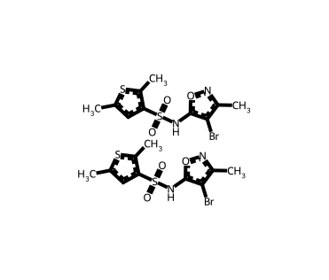 Cc1cc(S(=O)(=O)Nc2onc(C)c2Br)c(C)s1.Cc1cc(S(=O)(=O)Nc2onc(C)c2Br)c(C)s1